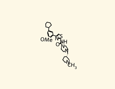 COc1ccc(C2CCCCC2)cc1-c1csc(NC(=O)N2CCN(C[C@H]3CCCN(C)C3)CC2)n1